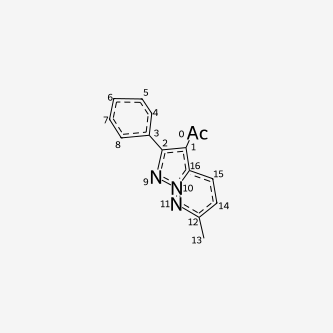 CC(=O)c1c(-c2ccccc2)nn2nc(C)ccc12